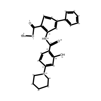 CC(C)(C)OC(=O)c1ccc(-c2ccccc2)cc1NC(=O)c1ccc(N2CCCCC2)cc1O